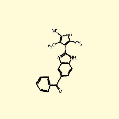 Cc1[nH]c(C#N)c(C)c1-c1nc2cc(C(=O)c3ccccc3)ccc2[nH]1